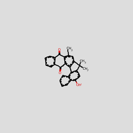 Cc1cc2c(c3c1C(=O)c1ccccc1C3=O)-c1c(cc(O)c3ccccc13)C2(C)C